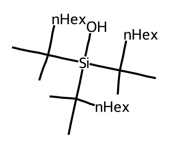 CCCCCCC(C)(C)[Si](O)(C(C)(C)CCCCCC)C(C)(C)CCCCCC